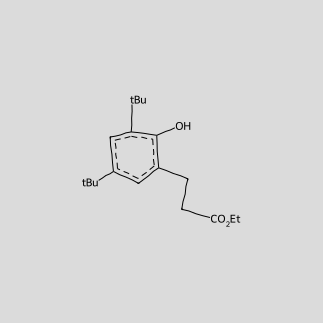 CCOC(=O)CCc1cc(C(C)(C)C)cc(C(C)(C)C)c1O